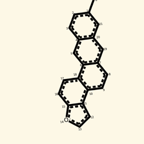 Cc1ccc2cc3c(ccc4c5ccoc5ccc34)cc2c1